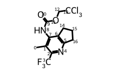 Cc1c(C(F)(F)F)nc2c(c1NC(=O)OCC(Cl)(Cl)Cl)CCC2